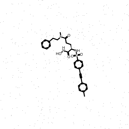 Cc1ccc(C#Cc2ccc(S(=O)(=O)N[C@H](CCC(=O)N(C)CCc3ccccc3)C(=O)NO)cc2)cc1